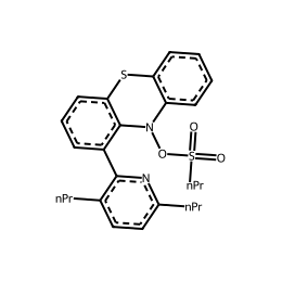 CCCc1ccc(CCC)c(-c2cccc3c2N(OS(=O)(=O)CCC)c2ccccc2S3)n1